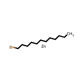 CCCCCCCCCCCCBr.[Zn]